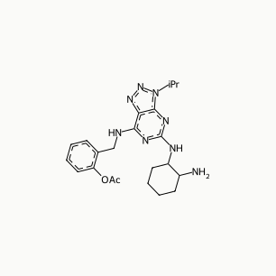 CC(=O)Oc1ccccc1CNc1nc(NC2CCCCC2N)nc2c1nnn2C(C)C